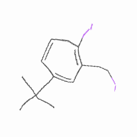 CC(C)(C)c1ccc(I)c(CI)c1